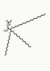 CCC(=O)O.CCCCCCCCCCCCCCCCCCSC(C(=O)O)C(SCCCCCCCCCCCC)SCCCCCCCCCCCC